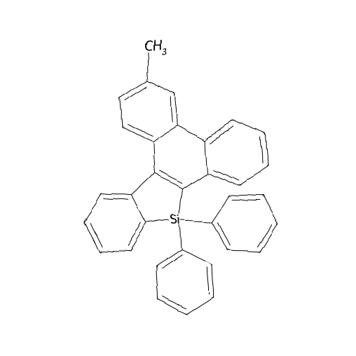 Cc1ccc2c3c(c4ccccc4c2c1)[Si](c1ccccc1)(c1ccccc1)c1ccccc1-3